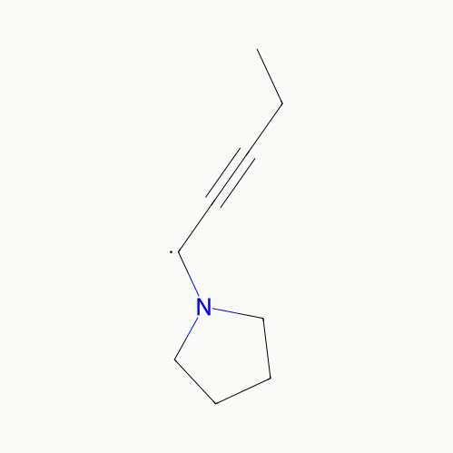 CCC#C[CH]N1CCCC1